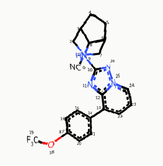 N#CN1CC2CCC(C1)C2Nc1nc2c(-c3ccc(OC(F)(F)F)cc3)cccn2n1